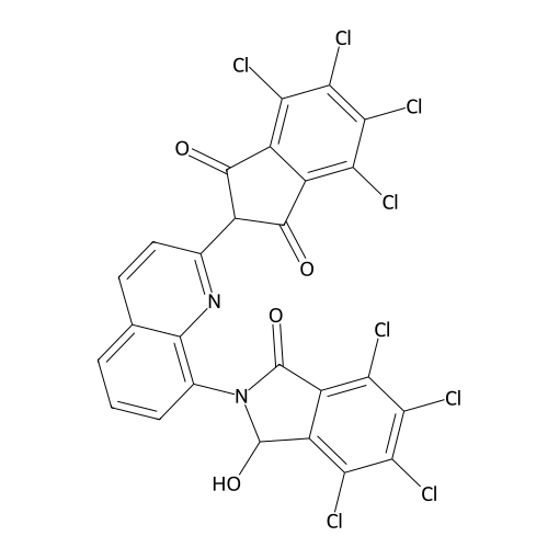 O=C1c2c(Cl)c(Cl)c(Cl)c(Cl)c2C(=O)C1c1ccc2cccc(N3C(=O)c4c(Cl)c(Cl)c(Cl)c(Cl)c4C3O)c2n1